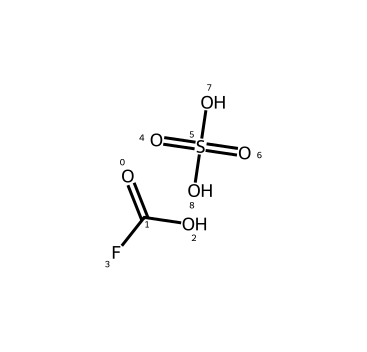 O=C(O)F.O=S(=O)(O)O